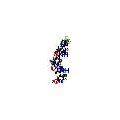 COc1cc(-c2cc(C(=O)N3CC[C@H](C(=O)N[C@H]4C(C)(C)[C@H](N5CCC(F)(F)C5)C4(C)C)CC34CC4)n[nH]2)c(F)cn1